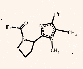 Cc1c(C(C)C)nc(C2CCCN2C(=O)C(C)C)n1C